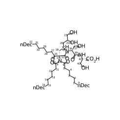 CCCCCCCCCCCCCCCC(=O)N(C(=O)CCCCCCCCCCCCCCC)[C@@](CSCC(O)CO)(C(=O)CCCCCCCCCCCCCCC)C(=O)N[C@@H](CO)C(=O)N[C@@H](CO)C(=O)O